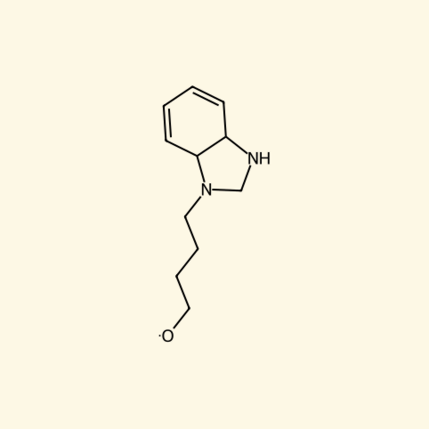 [O]CCCCN1CNC2C=CC=CC21